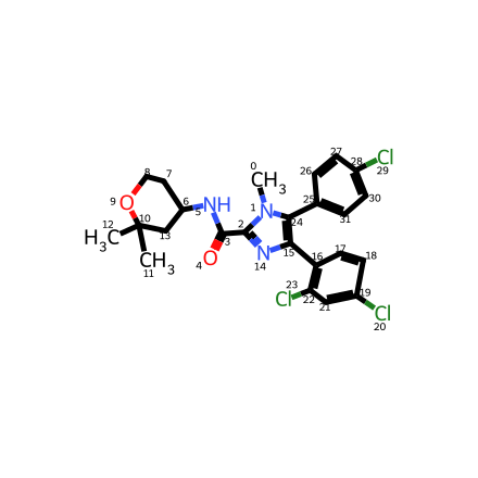 Cn1c(C(=O)NC2CCOC(C)(C)C2)nc(-c2ccc(Cl)cc2Cl)c1-c1ccc(Cl)cc1